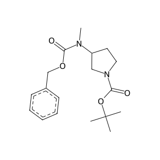 CN(C(=O)OCc1ccccc1)C1CCN(C(=O)OC(C)(C)C)C1